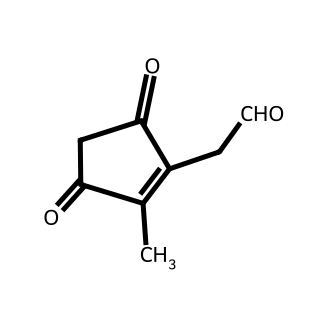 CC1=C(CC=O)C(=O)CC1=O